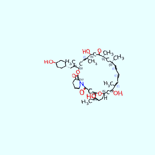 C/C1=C\C[C@@H]([C@H](C)C[C@H]2CC[C@H](O)CC2)OC(=O)[C@@H]2CCCCN2C(=O)C[C@]2(O)O[C@@H](CC[C@H]2C)C[C@H](O)/C(C)=C/C=C/C=C/[C@@H](C)C[C@@H](C)C(=O)C[C@@H]1O